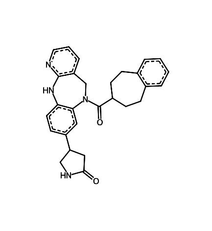 O=C1CC(c2ccc3c(c2)N(C(=O)C2CCc4ccccc4CC2)Cc2cccnc2N3)CN1